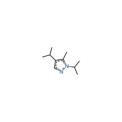 Cc1c(C(C)C)cnn1C(C)C